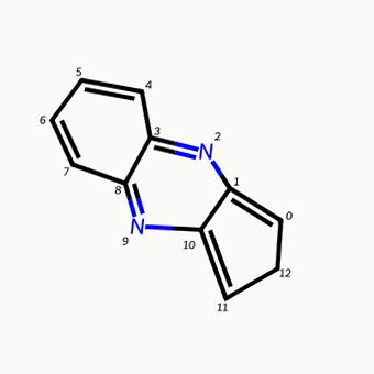 C1=c2nc3ccccc3nc2=CC1